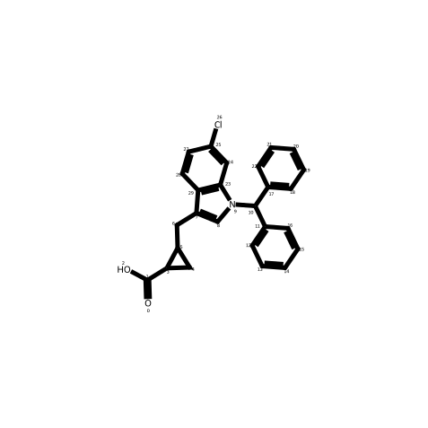 O=C(O)C1CC1Cc1cn(C(c2ccccc2)c2ccccc2)c2cc(Cl)ccc12